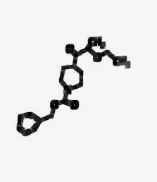 C=C(OCC)C(=O)C1CCN(C(=O)OCc2ccccc2)CC1